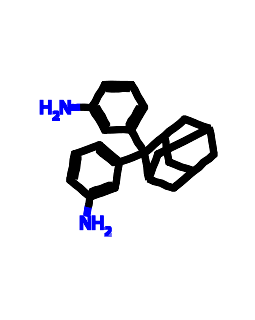 Nc1cccc(C2(c3cccc(N)c3)C3CC4CC(C3)CC2C4)c1